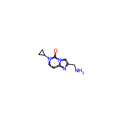 NCc1cn2c(=O)n(C3CC3)ccc2n1